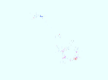 CCC(=O)N[C@H](C(=O)NCC(=O)N[C@H]1C[S+]([O-])c2[nH]c3c(CSCCCCNC(=O)CCOCCOCCOCCOCCN4C=C(CNC(=O)C(C)CC(=O)O)NN4)c(OC)ccc3c2C[C@@H](C(N)=O)NC(=O)[C@H]([C@@H](C)[C@@H](O)CO)NC(=O)[C@@H]2C[C@@H](O)CN2C(=O)[C@H](CC(N)=O)NC1=O)[C@@H](C)CC